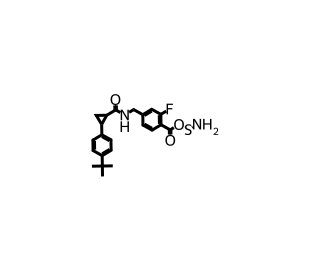 CC(C)(C)c1ccc(C2CC2C(=O)NCc2ccc(C(=O)OSN)c(F)c2)cc1